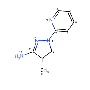 CC1CN(c2ccccn2)N=C1N